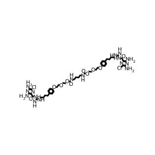 N=C(NCCCCc1ccc(OCCOCCOC(=O)NCCCCNC(=O)OCCOCCOc2ccc(CCCCNC(=N)NC(=O)c3nc(Cl)c(N)nc3N)cc2)cc1)NC(=O)c1nc(Cl)c(N)nc1N